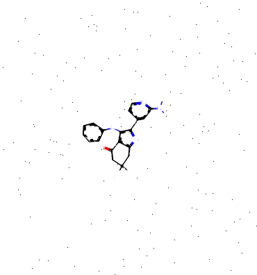 CC(=O)N(C(C)=O)c1cc(-c2[nH]c3c(c2Nc2ccccc2)C(=O)CC(C)(C)C3)ccn1